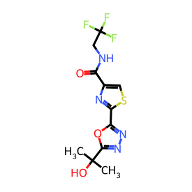 CC(C)(O)c1nnc(-c2nc(C(=O)NCC(F)(F)F)cs2)o1